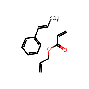 C=CCOC(=O)C=C.O=S(=O)(O)C=Cc1ccccc1